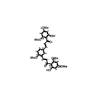 COc1cc(O)c(C(=O)C=Cc2ccc(OC)c(C=CC(=O)c3c(O)cc(OC)cc3OC)c2)c(OC)c1